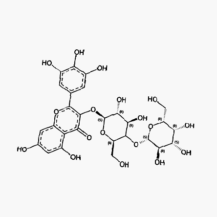 O=c1c(O[C@@H]2O[C@H](CO)C(O[C@@H]3O[C@H](CO)[C@H](O)[C@H](O)[C@H]3O)[C@H](O)[C@H]2O)c(-c2cc(O)c(O)c(O)c2)oc2cc(O)cc(O)c12